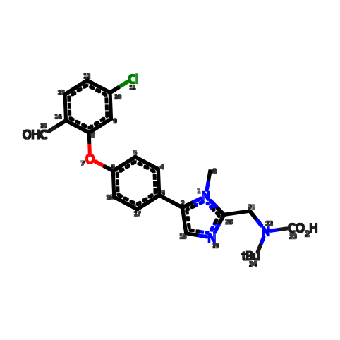 Cn1c(-c2ccc(Oc3cc(Cl)ccc3C=O)cc2)cnc1CN(C(=O)O)C(C)(C)C